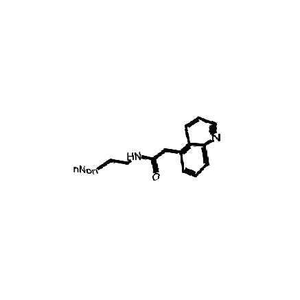 CCCCCCCCCCCNC(=O)Cc1cccc2ncccc12